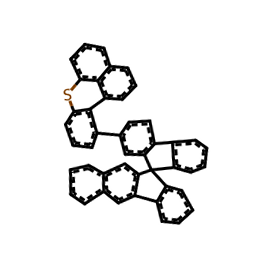 c1ccc2c(c1)-c1ccc(-c3cccc4c3-c3cccc5cccc(c35)S4)cc1C21c2ccccc2-c2cc3ccccc3cc21